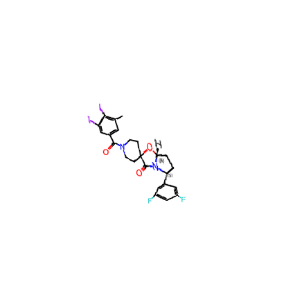 Cc1cc(C(=O)N2CCC3(CC2)O[C@@H]2CC[C@@H](c4cc(F)cc(F)c4)N2C3=O)cc(I)c1I